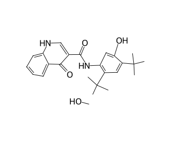 CC(C)(C)c1cc(C(C)(C)C)c(NC(=O)c2c[nH]c3ccccc3c2=O)cc1O.CO